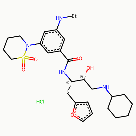 CCNc1cc(C(=O)N[C@@H](Cc2ccco2)[C@H](O)CNC2CCCCC2)cc(N2CCCCS2(=O)=O)c1.Cl